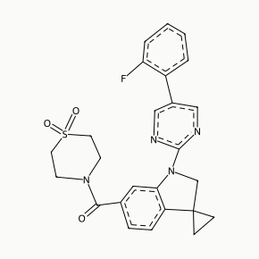 O=C(c1ccc2c(c1)N(c1ncc(-c3ccccc3F)cn1)CC21CC1)N1CCS(=O)(=O)CC1